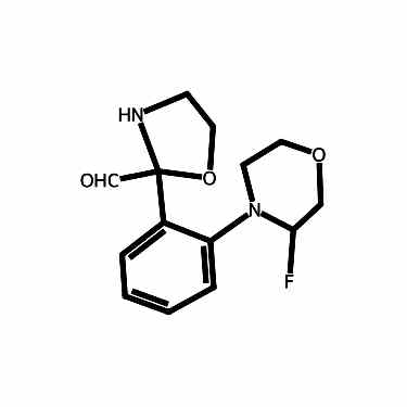 O=CC1(c2ccccc2N2CCOCC2F)NCCO1